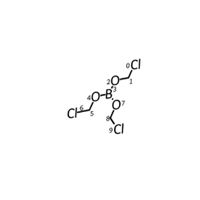 ClCOB(OCCl)OCCl